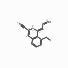 CCc1cccc2c1/C(=C/C=N)NC(C#N)=C2